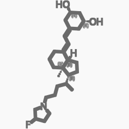 CC(CCCN1CCC(F)C1)[C@H]1CC[C@H]2C(=CC=C3C[C@@H](O)C[C@H](O)C3)CCC[C@]12C